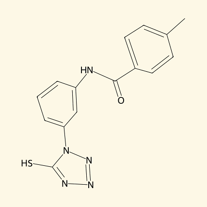 Cc1ccc(C(=O)Nc2cccc(-n3nnnc3S)c2)cc1